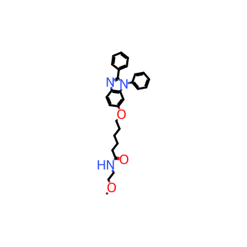 COCCNC(=O)CCCCCOc1ccc2nc(-c3ccccc3)n(-c3ccccc3)c2c1